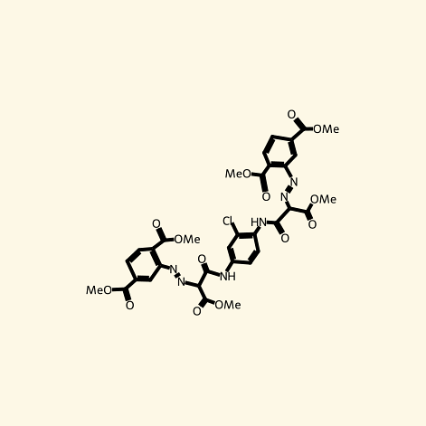 COC(=O)c1ccc(C(=O)OC)c(/N=N/C(C(=O)Nc2ccc(NC(=O)C(/N=N/c3cc(C(=O)OC)ccc3C(=O)OC)C(=O)OC)c(Cl)c2)C(=O)OC)c1